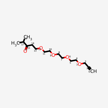 C#CCOCCOCCOCCOCCC(=O)C(C)C